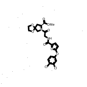 COC(=O)[C@@H]1CC2(CN1C(=O)CNC(=O)c1ccc(Oc3ccc(Cl)c(Cl)c3)o1)OCCO2